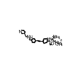 C=C=C(N[C@H](C(=O)NO)C(C)(C)N)c1ccc(C#Cc2ccc(CNCc3cccnc3)cc2)cc1